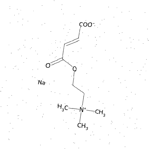 C[N+](C)(C)CCOC(=O)C=CC(=O)[O-].[Na]